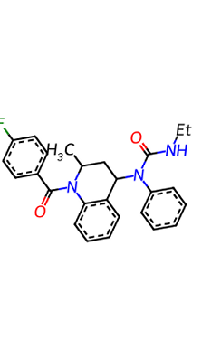 CCNC(=O)N(c1ccccc1)C1CC(C)N(C(=O)c2ccc(F)cc2)c2ccccc21